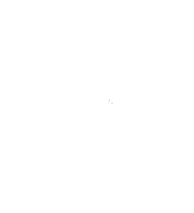 CCC(C)C1CCN2CCCC12